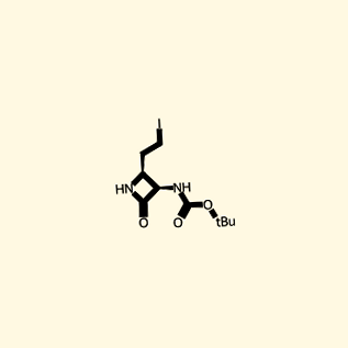 CC(C)(C)OC(=O)N[C@H]1C(=O)N[C@H]1CCI